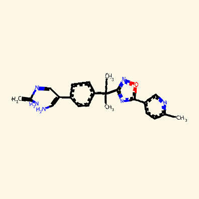 C=C(N)/N=C\C(=C/N)c1ccc(C(C)(C)c2noc(-c3ccc(C)nc3)n2)cc1